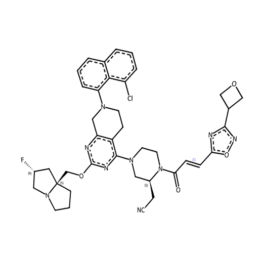 N#CC[C@H]1CN(c2nc(OC[C@@]34CCCN3C[C@H](F)C4)nc3c2CCN(c2cccc4cccc(Cl)c24)C3)CCN1C(=O)/C=C/c1nc(C2COC2)no1